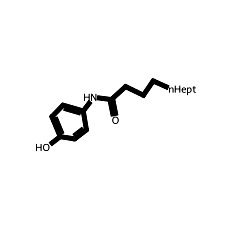 CCCCCCCCCCC(=O)Nc1ccc(O)cc1